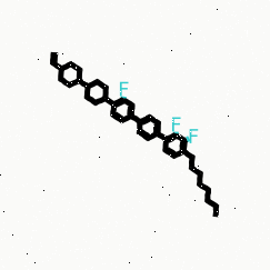 C=CC1CCC(C2CCC(c3ccc(-c4ccc(-c5ccc(CCCCCCCC)c(F)c5F)cc4)cc3F)CC2)CC1